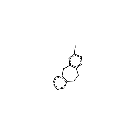 Clc1ccc2c(c1)Cc1ccccc1CC2